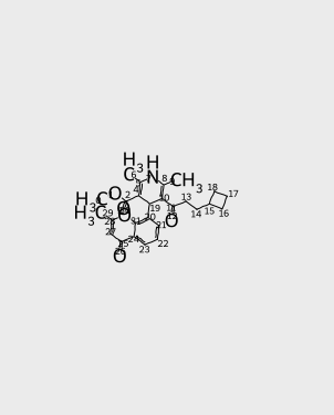 COC(=O)C1=C(C)NC(C)=C(C(=O)CCC2CCC2)C1c1cccc2c(=O)cc(C)oc12